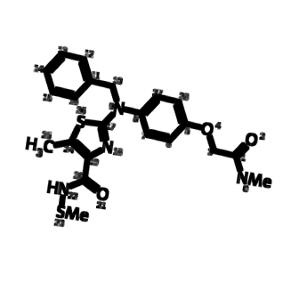 CNC(=O)COc1ccc(N(Cc2ccccc2)c2nc(C(=O)NSC)c(C)s2)cc1